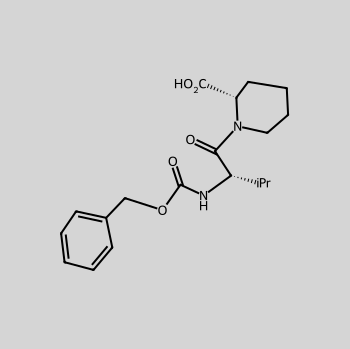 CC(C)[C@H](NC(=O)OCc1ccccc1)C(=O)N1CCCC[C@H]1C(=O)O